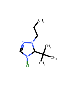 CCCN1N=CN(Cl)C1C(C)(C)C